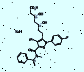 CC(C)c1c(C(=O)N(C)[C@@H](C)c2ccccc2)nn(-c2ccc(F)cc2)c1CC[C@@H](O)C[C@@H](O)CC(=O)O.[NaH]